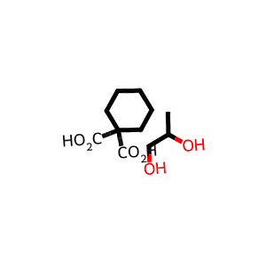 CC(O)CO.O=C(O)C1(C(=O)O)CCCCC1